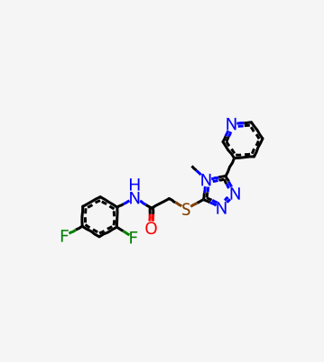 Cn1c(SCC(=O)Nc2ccc(F)cc2F)nnc1-c1cccnc1